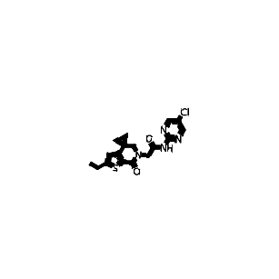 CCc1cc2c(s1)C(=O)N(CC(=O)Nc1ncc(Cl)cn1)CC21CC1